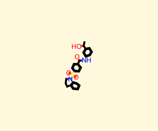 CC(O)c1cccc(NC(=O)c2ccc(S(=O)(=O)N3CCCc4ccccc43)cc2)c1